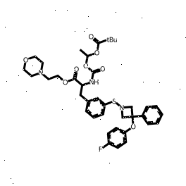 CC(OC(=O)NC(Cc1cccc(SN2CC(Oc3ccc(F)cc3)(c3ccccc3)C2)c1)C(=O)OCCN1CCOCC1)OC(=O)C(C)(C)C